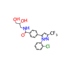 O=C(NCC(O)CO)c1ccc(-c2cc(C(F)(F)F)nn2-c2ccccc2Cl)cc1